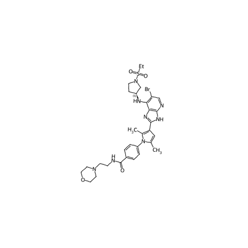 CCS(=O)(=O)N1CC[C@H](Nc2c(Br)cnc3[nH]c(-c4cc(C)n(-c5ccc(C(=O)NCCN6CCOCC6)cc5)c4C)nc23)C1